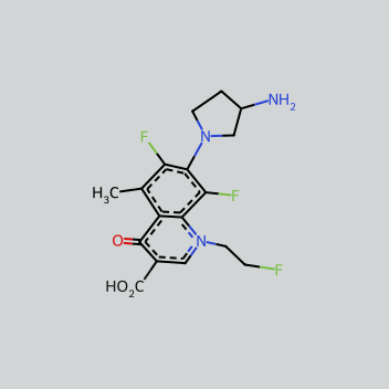 Cc1c(F)c(N2CCC(N)C2)c(F)c2c1c(=O)c(C(=O)O)cn2CCF